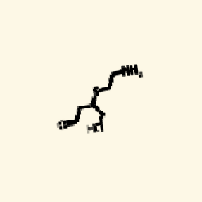 NCCSC(CO)CC=O